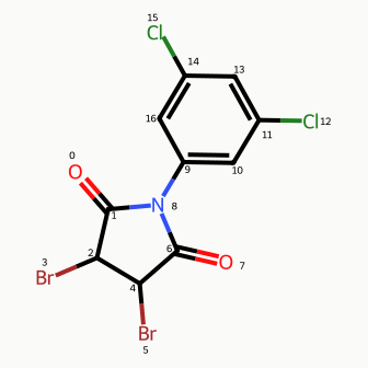 O=C1C(Br)C(Br)C(=O)N1c1cc(Cl)cc(Cl)c1